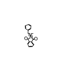 CN(Cc1ccccc1)N1C(=O)c2ccccc2C1=O